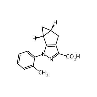 Cc1ccccc1-n1nc(C(=O)O)c2c1[C@@H]1C[C@@H]1C2